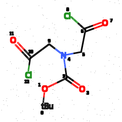 CC(C)(C)OC(=O)N(CC(=O)Cl)CC(=O)Cl